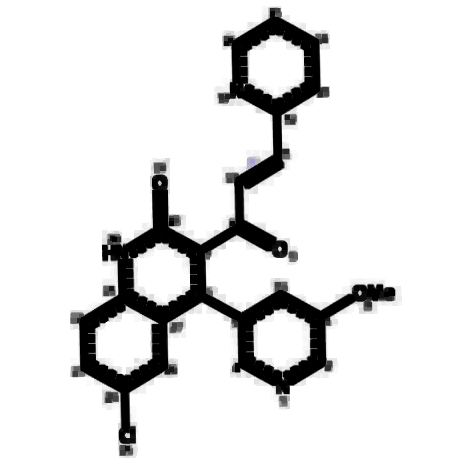 COc1cncc(-c2c(C(=O)/C=C/c3ccccn3)c(=O)[nH]c3ccc(Cl)cc23)c1